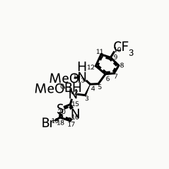 COBN(C[C@H](Cc1ccc(C(F)(F)F)cc1)NOC)c1ncc(Br)s1